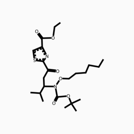 CCCCCCON(C(=O)OC(C)(C)C)C(CC(=O)c1nc(C(=O)OCC)cs1)C(C)C